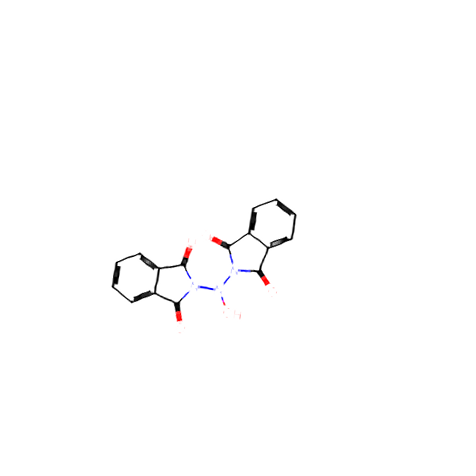 O=C1c2ccccc2C(=O)N1N(O)N1C(=O)c2ccccc2C1=O